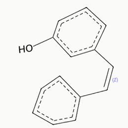 Oc1cccc(/C=C\c2ccccc2)c1